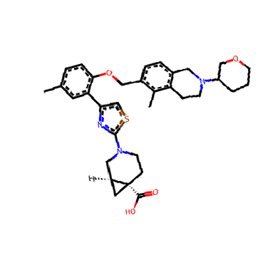 Cc1ccc(OCc2ccc3c(c2C)CCN(C2CCCOC2)C3)c(-c2csc(N3CC[C@@]4(C(=O)O)C[C@H]4C3)n2)c1